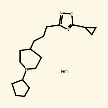 C(Cc1noc(C2CC2)n1)CC1CCN(C2CCCC2)CC1.Cl